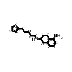 Nc1cccc2c1CCC(NCCCCCc1cccs1)C2